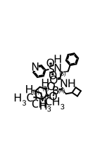 CC1(C)[C@@H]2C[C@H]3OB([C@H](CC4CCC4)NC(=O)[C@H](Cc4ccccc4)NS(=O)(=O)c4cccnc4)O[C@@]3(C)[C@H]1C2